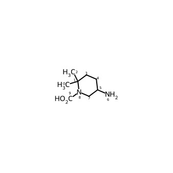 CC1(C)CCC(N)CN1C(=O)O